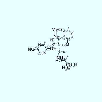 CC(O)C(=O)O.COc1cccc(OCCCN)c1-c1cc(Nc2cnc(C#N)cn2)n[nH]1.O